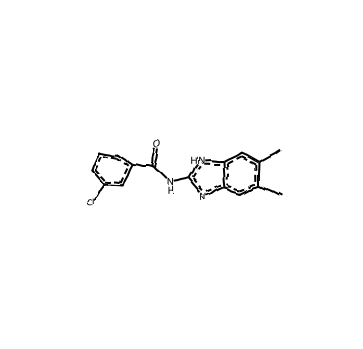 Cc1cc2nc(NC(=O)c3cccc(Cl)c3)[nH]c2cc1C